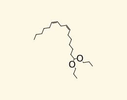 CCCCC/C=C\C/C=C\CCCCCC(OCCC)OCCC